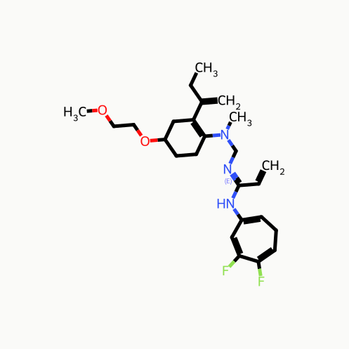 C=C/C(=N\CN(C)C1=C(C(=C)CC)CC(OCCOC)CC1)NC1=CCC=C(F)C(F)=C1